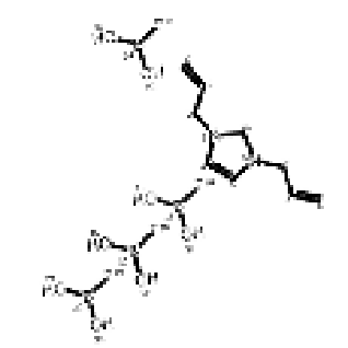 C=CCN1C=CN(CC=C)C1.OB(O)F.OB(O)F.OB(O)F.OB(O)F